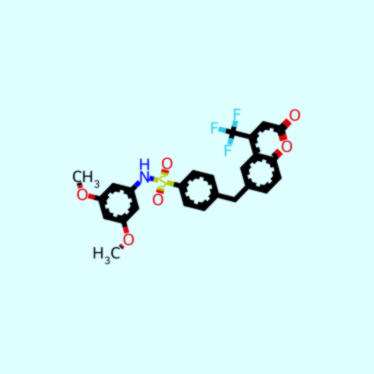 COc1cc(NS(=O)(=O)c2ccc(Cc3ccc4oc(=O)cc(C(F)(F)F)c4c3)cc2)cc(OC)c1